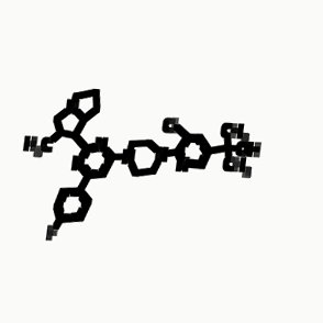 CC1CN2CCCC2C1c1nc(-c2ccc(F)cc2)cc(N2CCN(c3ncc(C(C)(C)O)cc3Cl)CC2)n1